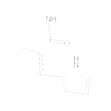 CC(=Cc1ccc[nH]1)C(N)=O